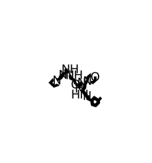 Cc1cccc(C=NNc2cc(N3CCOCC3)nc(OCCNC(=N)[N+]#CN3CCCC3)n2)c1